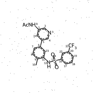 CC(=O)Nc1cncc(-c2ccc(C)c(NS(=O)(=O)c3cccc(C(F)(F)F)c3)c2)c1